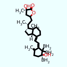 BC1(B)/C(=C/C=C2\CCC[C@]3(C)[C@@H]([C@H](C)CC4C[C@@](C)(O)C(=O)O4)CC[C@@H]23)C(=C)CC[C@]1(B)O